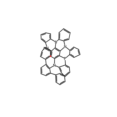 c1ccc(-c2cccc(-c3ccccc3)c2N2c3ccccc3P3c4ccccc4N4c5ccccc5B5c6ccccc6Nc6cc2c3c4c65)cc1